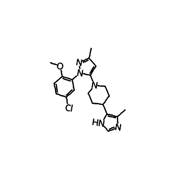 COc1ccc(Cl)cc1-n1nc(C)cc1N1CCC(c2[nH]cnc2C)CC1